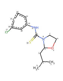 CC(C)CC1OCCN1C(=S)Nc1cccc(Cl)c1